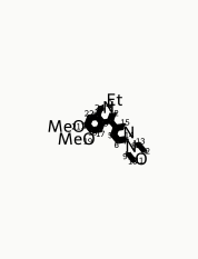 CCN1C=C(c2ccc(N3CCOCC3)nc2)c2cc(OC)c(OC)cc2C1